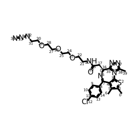 Cc1sc2c(c1C)C(c1ccc(Cl)cc1)=N[C@@H](CC(=O)NCCOCCOCCOCCN=[N+]=[N-])c1nnc(C)n1-2